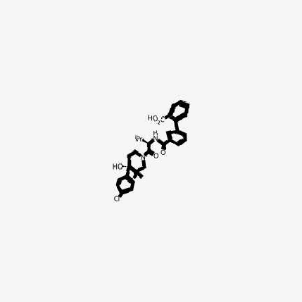 CC(C)[C@@H](NC(=O)c1cccc(-c2ccccc2C(=O)O)c1)C(=O)N1CC[C@](O)(c2ccc(Cl)cc2)C(C)(C)C1